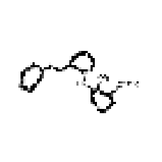 COc1cccc(Pc2ccccc2/C=N/c2ccccc2)c1O